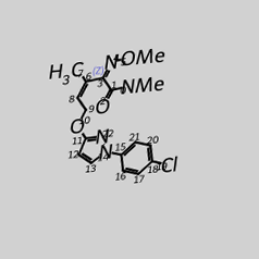 CNC(=O)/C(=N\OC)C(C)=CCOc1ccn(-c2ccc(Cl)cc2)n1